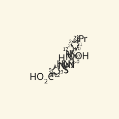 C/C(=N/NC(=S)Nc1ccc(C(=O)O)cc1)c1nn(C)c(-c2ccc(C(C)C)cc2)c1O